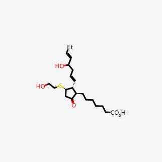 CC/C=C/C(O)C/C=C/[C@H]1[C@H](SCCO)CC(=O)[C@@H]1CCCCCCC(=O)O